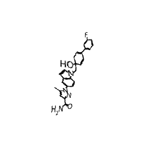 Cc1cc(C(N)=O)nn1-c1ccc2c(ccn2CC2(O)C=CC(c3cccc(F)c3)=CC2)c1